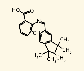 Cc1cccc(C(=O)O)c1/N=C\c1ccc2c(c1)C(C)(C)C(C)C2(C)C